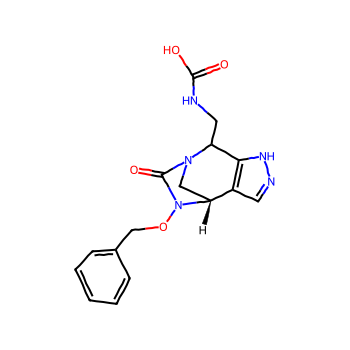 O=C(O)NCC1c2[nH]ncc2[C@H]2CN1C(=O)N2OCc1ccccc1